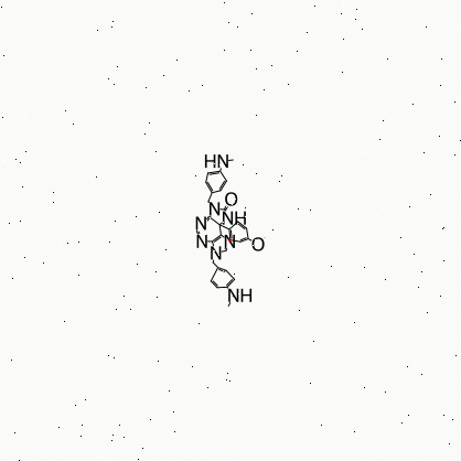 CNc1ccc(CN2C(=O)NC3(c4ccc(OC)cc4)C2=NC=Nc2c3ncn2Cc2ccc(NC)cc2)cc1